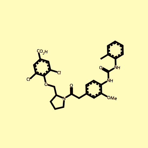 COc1cc(CC(=O)N2CCCC2COc2c(Cl)cc(C(=O)O)cc2Cl)ccc1NC(=O)Nc1ccccc1C